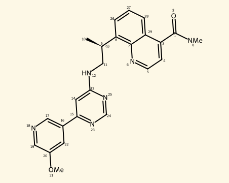 CNC(=O)c1ccnc2c([C@H](C)CNc3cc(-c4cncc(OC)c4)ncn3)cccc12